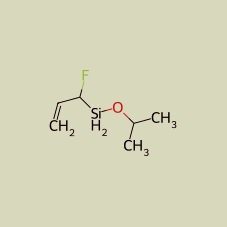 C=CC(F)[SiH2]OC(C)C